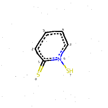 S=c1ccccn1S